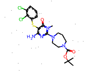 Cn1c(N2CCCN(C(=O)OC(C)(C)C)CC2)nc(N)c(Sc2cccc(Cl)c2Cl)c1=O